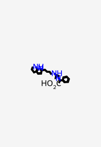 O=C(O)C(c1ccccc1)N1CC(NCCCCc2ccc3c(n2)NCCC3)C1